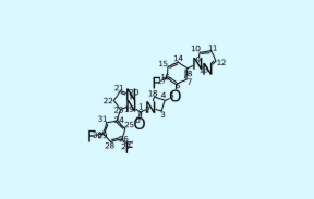 O=C(N1CC(Oc2cc(-n3cccn3)ccc2F)C1)N1N=CCC1c1cc(F)cc(F)c1